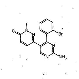 Cn1nc(-c2cnc(N)nc2-c2ccccc2Br)ccc1=O